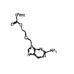 CCCCCC(=O)OCCOCn1cnc2cnc(N)nc21